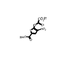 CCOC(=O)C(CC)Oc1sc(C(=O)OC)cc1[N+](=O)[O-]